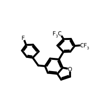 Fc1ccc(Cc2cc(-c3cc(C(F)(F)F)cc(C(F)(F)F)c3)c3occc3c2)cc1